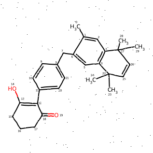 Cc1cc2c(cc1Cc1ccc(C3=C(O)CCCC3=O)cc1)C(C)(C)C=CC2(C)C